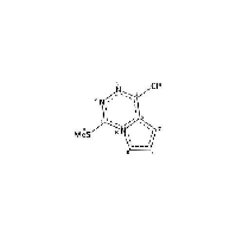 CSc1nnc(Cl)c2cccn12